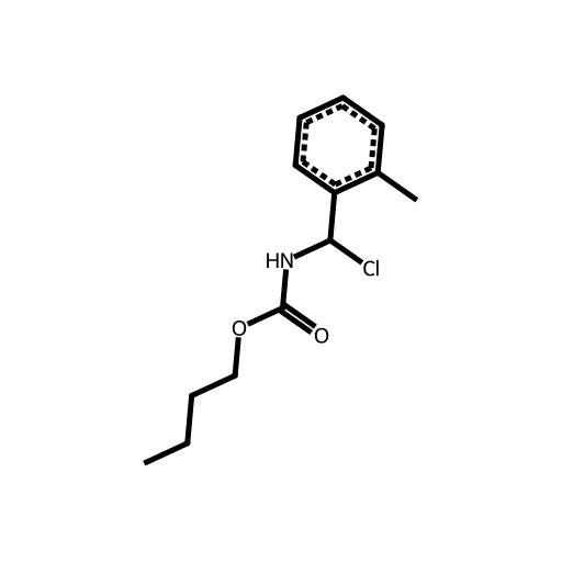 CCCCOC(=O)NC(Cl)c1ccccc1C